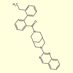 CCc1ccccc1-c1ccccc1C(=O)N1CC2CC(C1)CN(c1ncc3ccccc3n1)C2